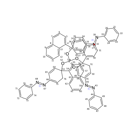 O=P(OC1(c2cccc3ccccc23)C=CC(/N=N/c2ccccc2)=CC1)(OC1(c2cccc3ccccc23)C=CC(/N=N/c2ccccc2)=CC1)OC1(c2cccc3ccccc23)C=CC(/N=N/c2ccccc2)=CC1